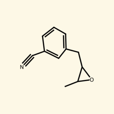 CC1OC1Cc1cccc(C#N)c1